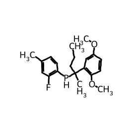 CCCC(C)(Pc1ccc(C)cc1F)c1cc(OC)ccc1OC